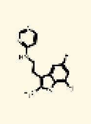 Cc1sc2c(Cl)cc(F)cc2c1CCNc1ccncn1